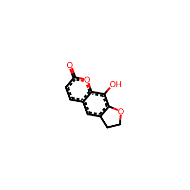 O=c1ccc2cc3c(c(O)c2o1)OCC3